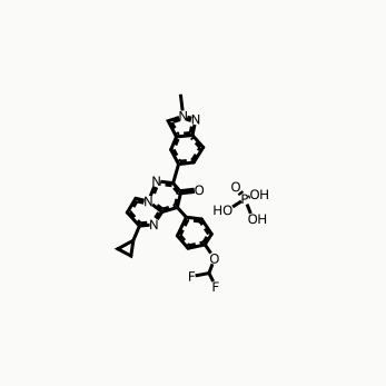 Cn1cc2cc(-c3nn4ccc(C5CC5)nc4c(-c4ccc(OC(F)F)cc4)c3=O)ccc2n1.O=P(O)(O)O